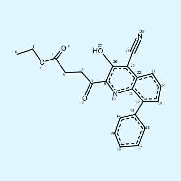 CCOC(=O)CCC(=O)c1nc2c(-c3ccccc3)cccc2c(C#N)c1O